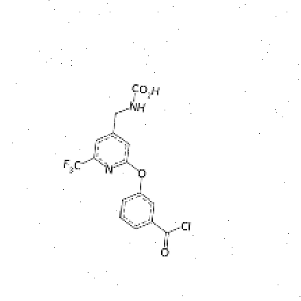 O=C(O)NCc1cc(Oc2cccc(C(=O)Cl)c2)nc(C(F)(F)F)c1